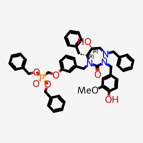 COc1cc(CN2C(=O)N(Cc3cccc(OCP(=O)(OCc4ccccc4)OCc4ccccc4)c3)[C@H](Cc3ccccc3)[C@H](O)CN2Cc2ccccc2)ccc1O